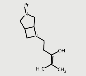 CC(C)=C(O)CCN1CC2CN(C(C)C)CC21